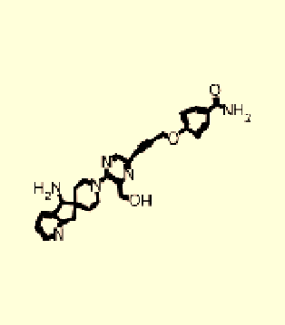 NC(=O)c1ccc(OCC#Cc2cnc(N3CCC4(CC3)Cc3ncccc3C4N)c(CO)n2)cc1